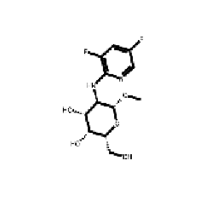 CO[C@@H]1O[C@H](CO)[C@H](O)[C@H](O)[C@H]1Nc1ncc(F)cc1F